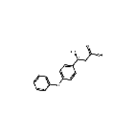 O=C(O)C[C@H](O)c1ccc(Oc2ccccc2)cc1